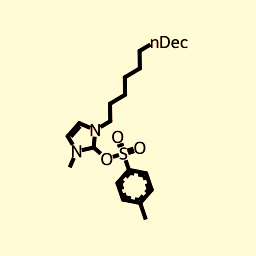 CCCCCCCCCCCCCCCCN1C=CN(C)C1OS(=O)(=O)c1ccc(C)cc1